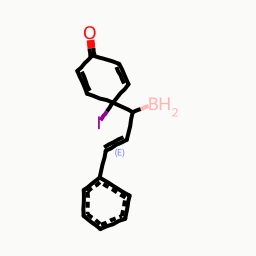 BC(/C=C/c1ccccc1)C1(I)C=CC(=O)C=C1